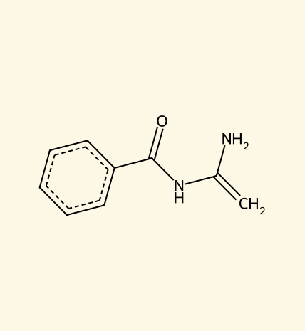 C=C(N)NC(=O)c1ccccc1